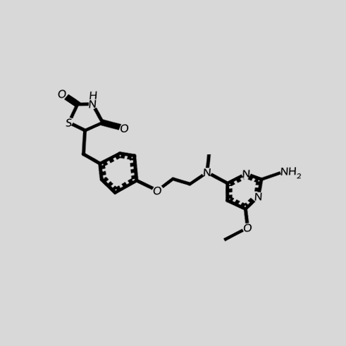 COc1cc(N(C)CCOc2ccc(CC3SC(=O)NC3=O)cc2)nc(N)n1